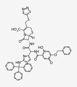 O=C(O)C1=C(CSc2cnns2)CS[C@@H]2[C@H](NC(=O)C(NC(=O)c3cc(=O)c(OCc4ccccc4)cn3O)c3csc(NC(c4ccccc4)(c4ccccc4)c4ccccc4)n3)C(=O)N12